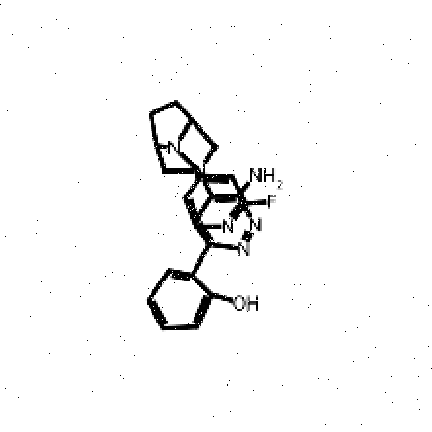 Nc1nnc(-c2ccccc2O)cc1N1CC2CCC(C1)N2c1ccnc(F)c1